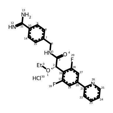 CCO[C@H](C(=O)NCc1ccc(C(=N)N)cc1)c1c(F)cc(-c2ccccn2)cc1F.Cl